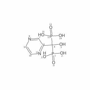 O=P(O)(O)C(O)(c1cnccn1)P(=O)(O)O